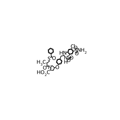 C[C@H](CSC(=O)c1ccccc1)C(=O)N1CC(Oc2ccc(CC3Nc4cc(Cl)c(S(N)(=O)=O)cc4S(=O)(=O)N3)cc2)C[C@H]1C(=O)O